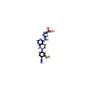 N#Cc1ccc(N2CCc3c(ncnc3Nc3nnc(C(=O)O)s3)C2)cc1CF